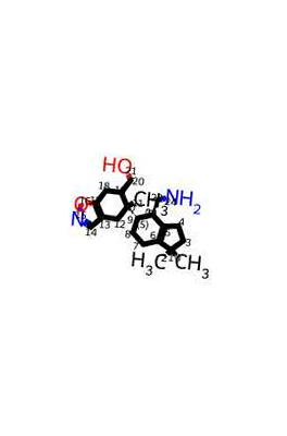 CC1(C)CCC2=C1CC[C@H](C1(C)Cc3cnoc3CC1CO)[C@H]2CN